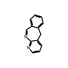 C1=Nc2ncccc2Cc2ccccc21